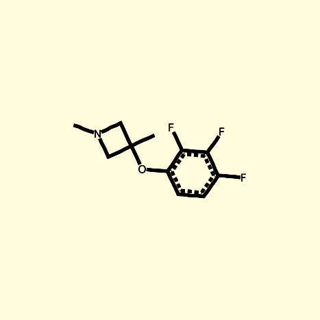 CN1CC(C)(Oc2ccc(F)c(F)c2F)C1